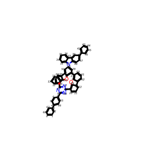 c1ccc(-c2ccc(-c3nc(-c4ccccc4)nc(-c4cccc5c4oc4c(-c6cc(-n7c8ccccc8c8cc(-c9ccccc9)ccc87)cc7c6oc6ccccc67)cccc45)n3)cc2)cc1